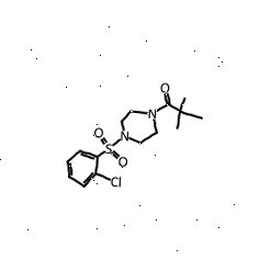 CC(C)(C)C(=O)N1CCN(S(=O)(=O)c2ccccc2Cl)CC1